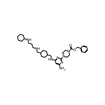 Nc1cc(NCC2CCC(CNCCCNC3CCCCC3)CC2)nc(N2CCN(C(=O)OCc3ccccc3)CC2)n1